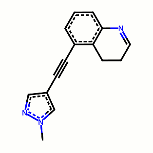 Cn1cc(C#Cc2cccc3c2CCC=N3)cn1